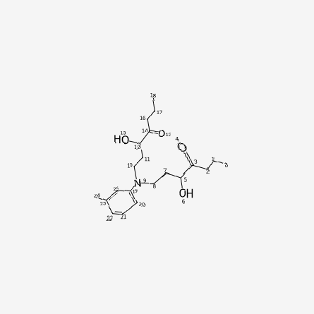 CCCC(=O)C(O)CCN(CCC(O)C(=O)CCC)c1cccc(C)c1